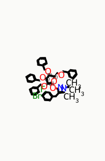 Cc1c(Cc2ccc(Br)c(F)c2)c(O[C@@H]2O[C@H](COCc3ccccc3)[C@@H](OCc3ccccc3)[C@H](OCc3ccccc3)[C@H]2OCc2ccccc2)nn1C(C)C